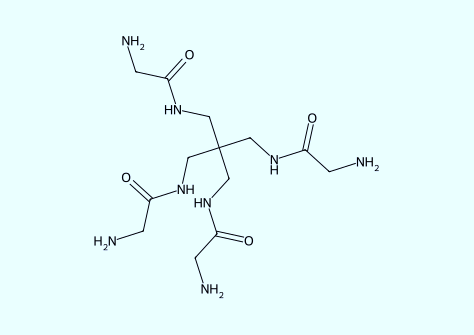 NCC(=O)NCC(CNC(=O)CN)(CNC(=O)CN)CNC(=O)CN